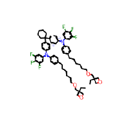 C=C(/C=C\C(=C/C)N(c1ccc(CCCCCCOCC2(CC)COC2)cc1)c1cc(F)c(F)c(F)c1)C1(c2ccc(N(c3ccc(CCCCCCOCC4(CC)COC4)cc3)c3cc(F)c(F)c(F)c3)cc2)CCCCC1